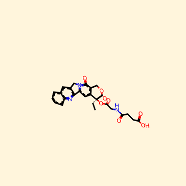 CC[C@@]1(OC(=O)CNC(=O)CCC(=O)O)C(=O)OCc2c1cc1n(c2=O)Cc2cc3ccccc3nc2-1